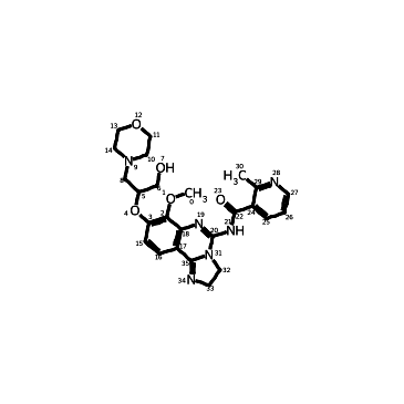 COc1c(OC(CO)CN2CCOCC2)ccc2c1N=C(NC(=O)c1cccnc1C)N1CCN=C21